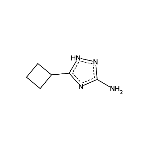 Nc1n[nH]c(C2CCC2)n1